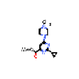 COC(=O)c1cc(N2CCN(C)CC2)nc(C2CC2)n1